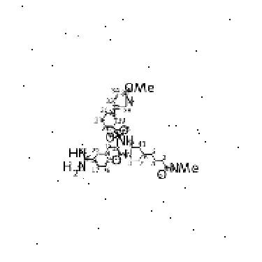 CNC(=O)CCCC1CCN(C(=O)[C@@H](Cc2cccc(C(=N)N)c2)NS(=O)(=O)c2cccc(-c3ccc(OC)nc3)c2)CC1